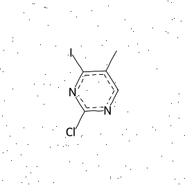 Cc1cnc(Cl)nc1I